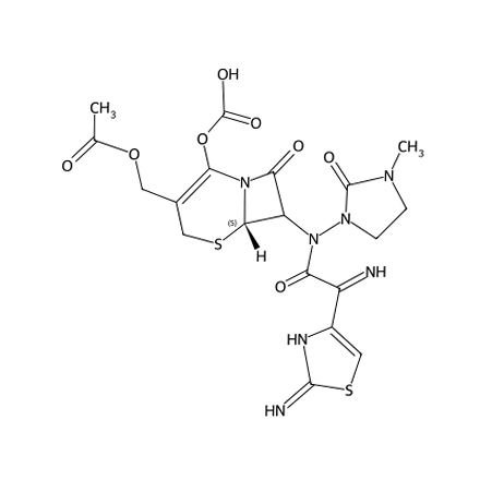 CC(=O)OCC1=C(OC(=O)O)N2C(=O)C(N(C(=O)C(=N)c3csc(=N)[nH]3)N3CCN(C)C3=O)[C@@H]2SC1